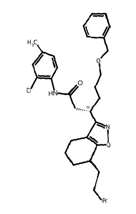 Cc1ccc(NC(=O)C[C@H](CCCOCc2ccccc2)c2noc3c2CCCC3CCC(C)C)c(Cl)c1